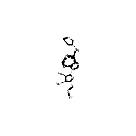 CC(C)SC[C@H]1O[C@@H](n2cnc3c(N[C@@H]4CCOC4)ncnc32)[C@H](O)[C@@H]1O